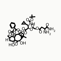 CC(=O)O[C@@]12OC[C@@H]1C[C@H](O)[C@@]1(C)C(=O)[C@H](O)C3=C(C)[C@@H](OC(=O)[C@H](OC(=O)COC(=O)CC(N)C(N)=O)[C@@H](NC(=O)OC(C)(C)C)C4CC4)C[C@@](O)([C@@H](OC(=O)c4ccccc4)[C@H]21)C3(C)C